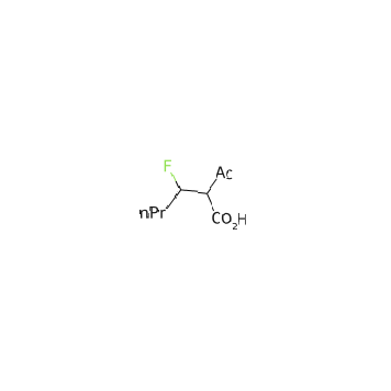 CCCC(F)C(C(C)=O)C(=O)O